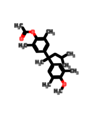 COc1c(C)cc(C(C)(CC(C)C)c2cc(C)c(OC(C)=O)c(C)c2)cc1C